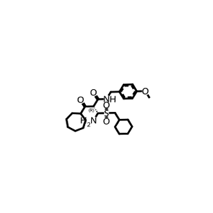 COc1ccc(CNC(=O)[C@@H](C(=O)C2CCCCCC2)C(N)S(=O)(=O)CC2CCCCC2)cc1